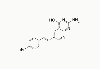 CC(C)c1ccc(C=Cc2cnc3nc(N)nc(O)c3c2)cc1